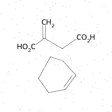 C1=CCCCC1.C=C(CC(=O)O)C(=O)O